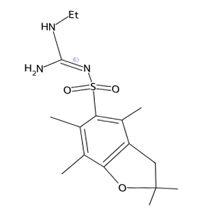 CCN/C(N)=N/S(=O)(=O)c1c(C)c(C)c2c(c1C)CC(C)(C)O2